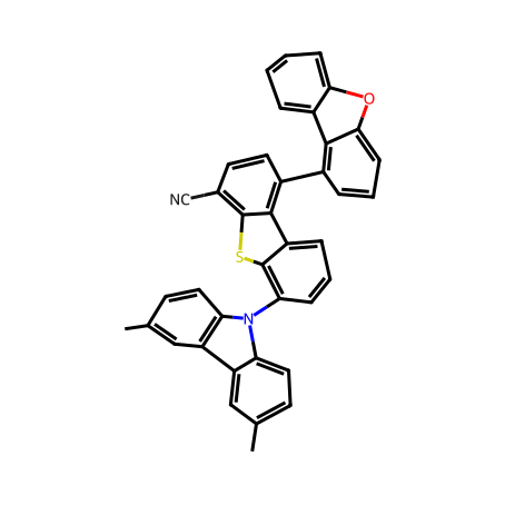 Cc1ccc2c(c1)c1cc(C)ccc1n2-c1cccc2c1sc1c(C#N)ccc(-c3cccc4oc5ccccc5c34)c12